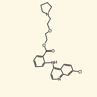 O=C(OCCOCCN1CCCC1)c1ccccc1Nc1ccnc2cc(Cl)ccc12